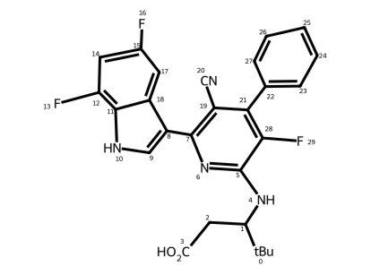 CC(C)(C)C(CC(=O)O)Nc1nc(-c2c[nH]c3c(F)cc(F)cc23)c(C#N)c(-c2ccccc2)c1F